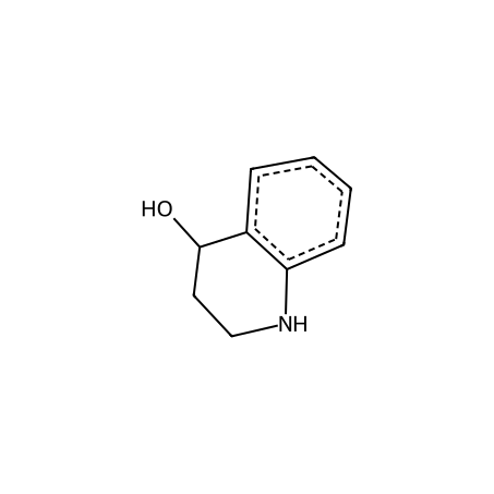 OC1CCNc2ccccc21